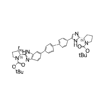 C[C@@H]1CCN(C(=O)OC(C)(C)C)[C@@H]1c1nc2ccc(-c3ccc(-c4ccc(-c5cnc([C@@H]6CCCN6C(=O)OC(C)(C)C)[nH]5)cc4)cc3)cc2[nH]1